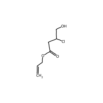 C=CCOC(=O)CC(Cl)CO